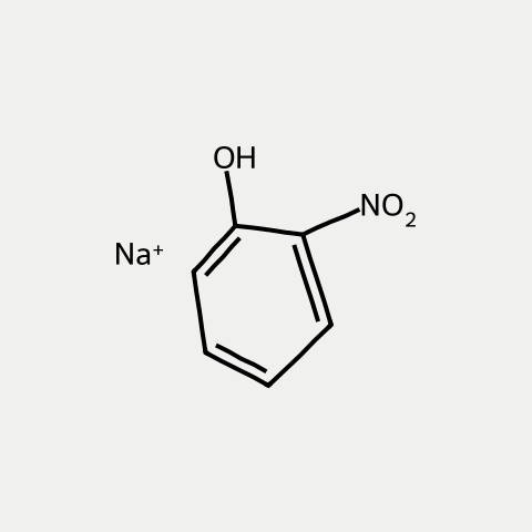 O=[N+]([O-])c1ccccc1O.[Na+]